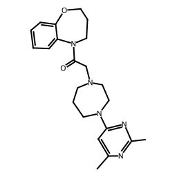 Cc1cc(N2CCCN(CC(=O)N3CCCOc4ccccc43)CC2)nc(C)n1